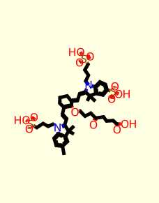 Cc1ccc2c(c1)C(C)(C)C(/C=C/C1=C(OCCCC(=O)CCCC(=O)O)C(=C/C=C3/N(CCCCS(=O)(=O)O)c4ccc(S(=O)(=O)O)cc4C3(C)C)/CCC1)=[N+]2CCCCS(=O)(=O)O